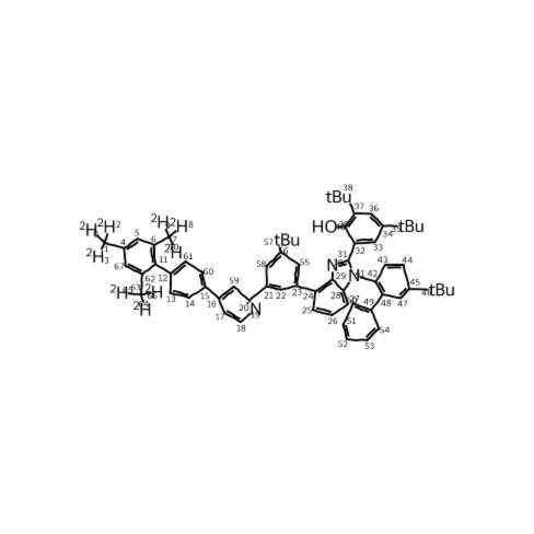 [2H]C([2H])([2H])c1cc(C([2H])([2H])[2H])c(-c2ccc(-c3ccnc(-c4cc(-c5cccc6c5nc(-c5cc(C(C)(C)C)cc(C(C)(C)C)c5O)n6-c5ccc(C(C)(C)C)cc5-c5ccccc5)cc(C(C)(C)C)c4)c3)cc2)c(C([2H])([2H])[2H])c1